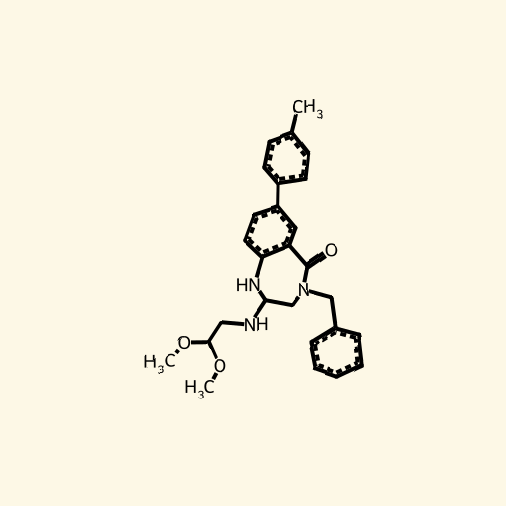 COC(CNC1CN(Cc2ccccc2)C(=O)c2cc(-c3ccc(C)cc3)ccc2N1)OC